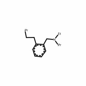 CCN(Cc1ccc[c]c1CCC(C)C)C(C)C